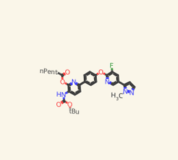 CCCCCC(=O)Oc1nc(-c2ccc(Oc3ncc(-c4ccnn4C)cc3F)cc2)ccc1NC(=O)OC(C)(C)C